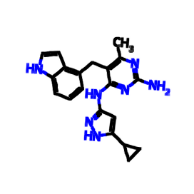 Cc1nc(N)nc(Nc2cc(C3CC3)[nH]n2)c1Cc1cccc2[nH]ccc12